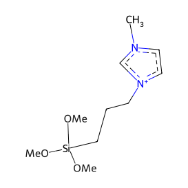 CO[Si](CCC[n+]1ccn(C)c1)(OC)OC